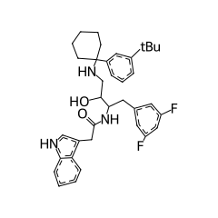 CC(C)(C)c1cccc(C2(NCC(O)C(Cc3cc(F)cc(F)c3)NC(=O)Cc3c[nH]c4ccccc34)CCCCC2)c1